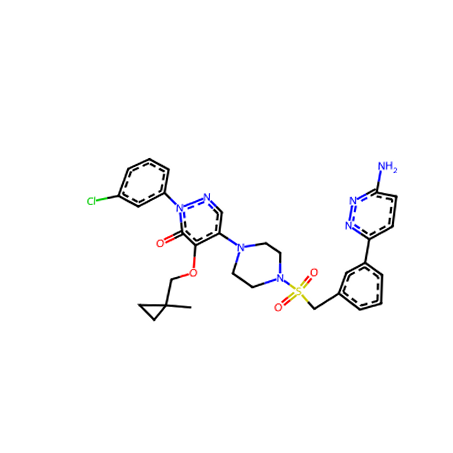 CC1(COc2c(N3CCN(S(=O)(=O)Cc4cccc(-c5ccc(N)nn5)c4)CC3)cnn(-c3cccc(Cl)c3)c2=O)CC1